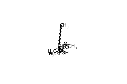 CCCCCCCCCCCCOC[C@@]12O[C@@H](CNS(=O)(=O)CC)[C@@H](O)[C@@H]1OC(C)(C)O2